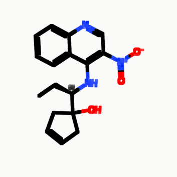 CC[C@@H](Nc1c([N+](=O)[O-])cnc2ccccc12)C1(O)CC=CC1